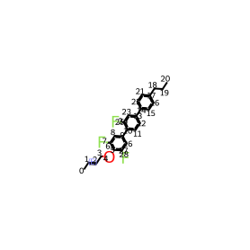 C/C=C/COc1c(F)cc(-c2ccc(-c3ccc(CCC)cc3)cc2F)cc1F